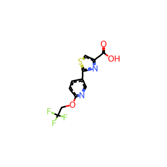 O=C(O)c1csc(-c2ccc(OCC(F)(F)F)nc2)n1